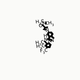 Cc1c([C@@H](C)Nc2nncc3ccc(N4CC(C(=O)N(C)C)C4)cc23)cccc1C(F)(F)F